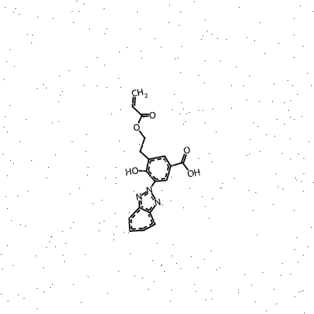 C=CC(=O)OCCc1cc(C(=O)O)cc(-n2nc3ccccc3n2)c1O